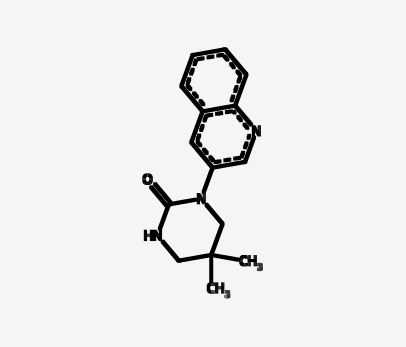 CC1(C)CNC(=O)N(c2cnc3ccccc3c2)C1